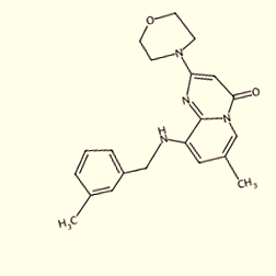 Cc1cccc(CNc2cc(C)cn3c(=O)cc(N4CCOCC4)nc23)c1